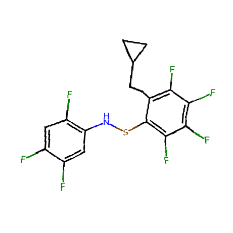 Fc1cc(F)c(NSc2c(F)c(F)c(F)c(F)c2CC2CC2)cc1F